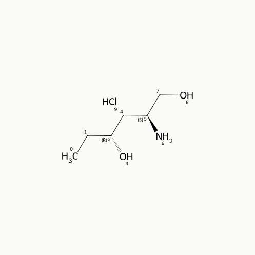 CC[C@@H](O)C[C@H](N)CO.Cl